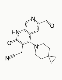 N#CCc1c(N2CCC3(CC2)CC3)c2cc(C=O)ncc2[nH]c1=O